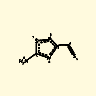 Nc1nc(C=S)ns1